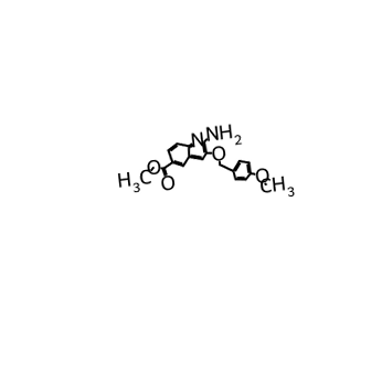 COC(=O)c1ccc2nc(N)c(OCc3ccc(OC)cc3)cc2c1